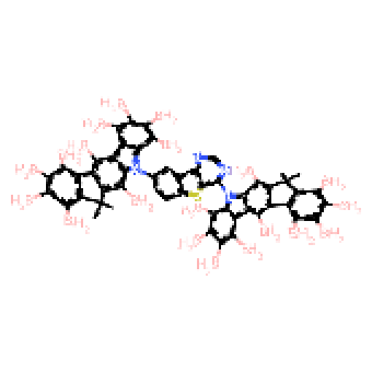 Bc1c(B)c(B)c2c(c1B)-c1c(c(B)c3c(c1B)c1c(B)c(B)c(B)c(B)c1n3-c1ccc3sc4c(-n5c6c(B)c(B)c(B)c(B)c6c6c(B)c7c(c(B)c65)C(C)(C)c5c(B)c(B)c(B)c(B)c5-7)ncnc4c3c1)C2(C)C